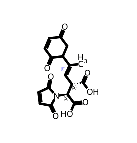 C/C(=C\[C@H](C(=O)O)[C@@H](C(=O)O)N1C(=O)C=CC1=O)C1CC(=O)C=CC1=O